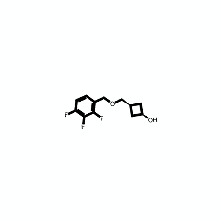 O[C@H]1C[C@@H](COCc2ccc(F)c(F)c2F)C1